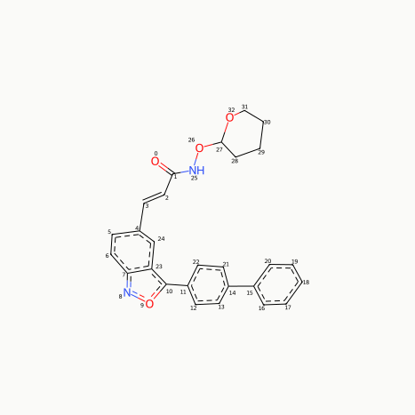 O=C(C=Cc1ccc2noc(-c3ccc(-c4ccccc4)cc3)c2c1)NOC1CCCCO1